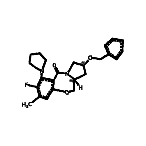 Cc1cc2c(c(N3CCCC3)c1F)C(=O)N1C[C@@H](OCc3ccccc3)C[C@@H]1CO2